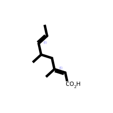 C/C=C/C(C)C/C(C)=C/C(=O)O